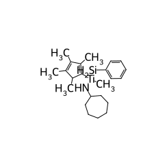 CC1=C(C)C(C)[C]([Ti]([CH3])([NH]C2CCCCCC2)[SiH2]c2ccccc2)=C1C